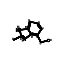 Cc1nc2c(C[O])cccc2[nH]1